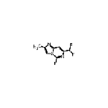 Cc1cn2c(F)nc(C(F)F)cc2n1